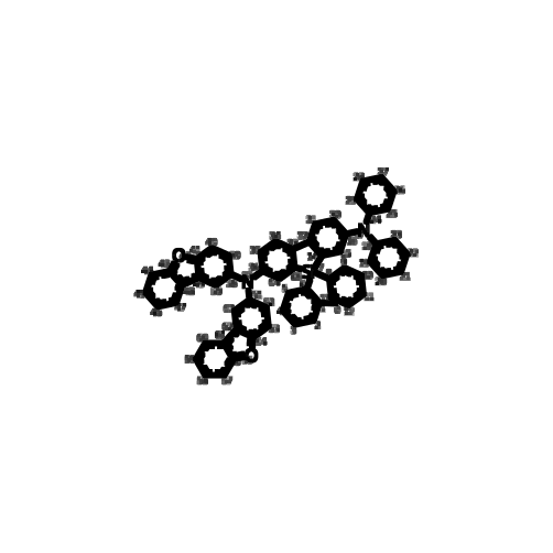 Cc1ccccc1[Si]1(c2ccccc2)c2cc(N(c3ccccc3)c3ccccc3)ccc2-c2ccc(N(c3ccc4oc5ccccc5c4c3)c3ccc4oc5ccccc5c4c3)cc21